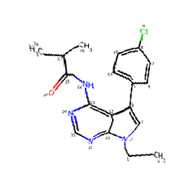 CCn1cc(-c2ccc(Cl)cc2)c2c(NC(=O)C(C)C)ncnc21